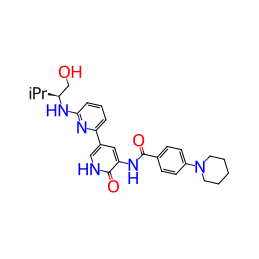 CC(C)[C@@H](CO)Nc1cccc(-c2c[nH]c(=O)c(NC(=O)c3ccc(N4CCCCC4)cc3)c2)n1